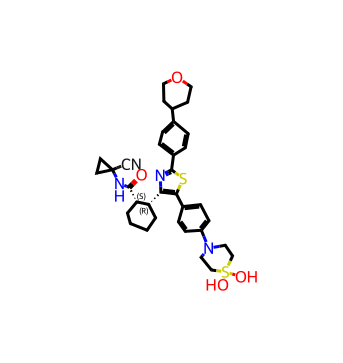 N#CC1(NC(=O)[C@H]2CCCC[C@H]2c2nc(-c3ccc(C4CCOCC4)cc3)sc2-c2ccc(N3CCS(O)(O)CC3)cc2)CC1